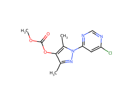 COC(=O)Oc1c(C)nn(-c2cc(Cl)ncn2)c1C